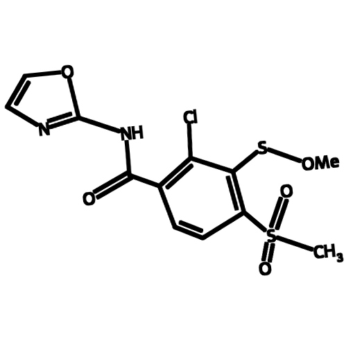 COSc1c(S(C)(=O)=O)ccc(C(=O)Nc2ncco2)c1Cl